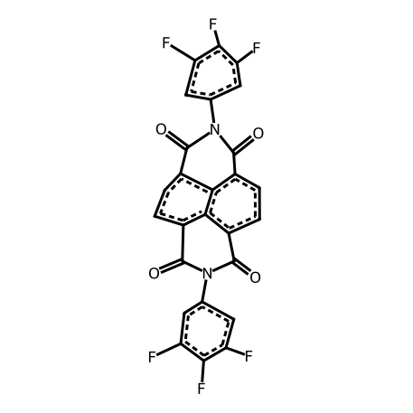 O=C1c2ccc3c4c(ccc(c24)C(=O)N1c1cc(F)c(F)c(F)c1)C(=O)N(c1cc(F)c(F)c(F)c1)C3=O